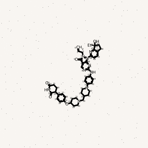 C=CCn1c(=O)c2cnc(Nc3ccc(N4CCC(CN5CCC(Oc6ccc(C7CCC(=O)NC7=O)cc6)CC5)CC4)cc3)nc2n1-c1ccc2c(n1)[C@@](O)(CC)CC2